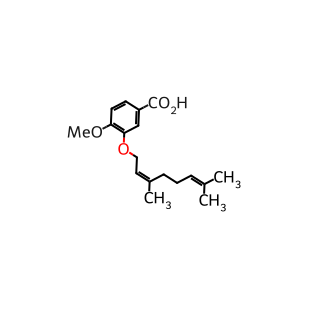 COc1ccc(C(=O)O)cc1OCC=C(C)CCC=C(C)C